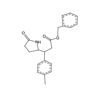 Cc1ccc(C(CC(=O)OCc2ccccc2)C2CCC(=O)N2)cc1